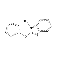 CCCC[n+]1c(Oc2ccccc2)sc2ccccc21